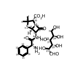 CC1(C)S[C@@H]2[C@H](NC(=O)[C@H](N)c3ccccc3)C(=O)N2[C@H]1C(=O)O.O=C[C@H](O)[C@@H](O)[C@H](O)[C@H](O)CO